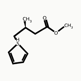 COC(=O)C[C@H](C)C[SH]1C=CC=C1